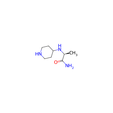 C[C@H](NC1CCNCC1)C(N)=O